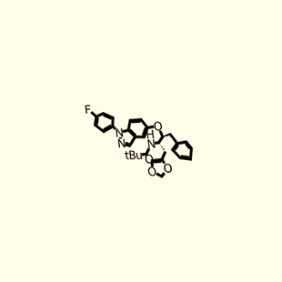 CC(C)(C)C(=O)N[C@@H](CC1=COCO1)[C@H](Cc1ccccc1)Oc1ccc2c(cnn2-c2ccc(F)cc2)c1